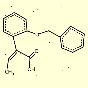 CC=C(C(=O)O)c1ccccc1OCc1ccccc1